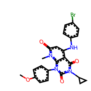 COc1ccc(-n2c(=O)n(C3CC3)c(=O)c3c(Nc4ccc(Br)cc4)cc(=O)n(C)c32)cc1